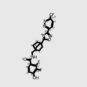 O=C(NCC12CCC(c3nc(-c4ccc(C(F)(F)F)nn4)no3)(CC1)CC2)c1ccc(O)c(F)c1F